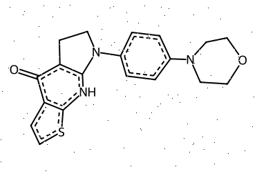 O=c1c2c([nH]c3sccc13)N(c1ccc(N3CCOCC3)cc1)CC2